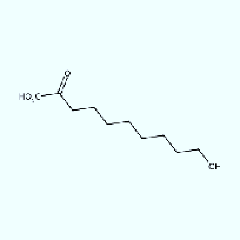 O=C(O)C(=O)CCCCCCCCO